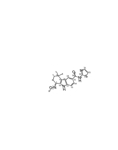 CON=C1CCC(C)(C)c2c1[nH]c1ccc(C(=O)Nc3nccs3)cc21